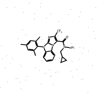 CCCN(CC1CC1)C(=O)c1c(C(F)(F)F)nc2n(-c3c(C)cc(C)cc3C)c3ccccc3n12